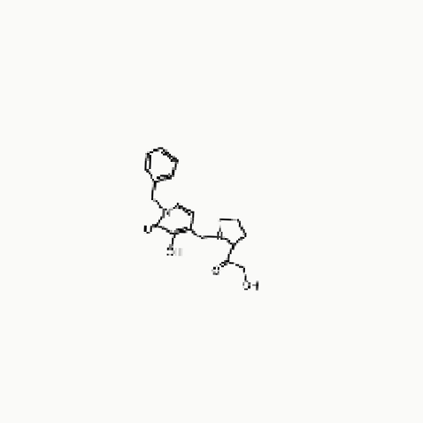 O=C(CO)C1CCCN1Cc1ccn(Cc2ccccc2)c(=O)c1O